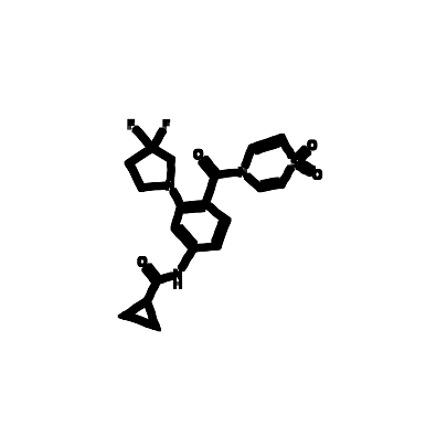 O=C(Nc1ccc(C(=O)N2C=CS(=O)(=O)C=C2)c(N2CCC(F)(F)C2)c1)C1CC1